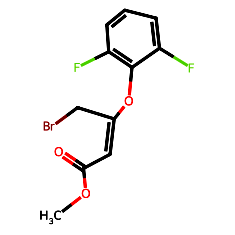 COC(=O)C=C(CBr)Oc1c(F)cccc1F